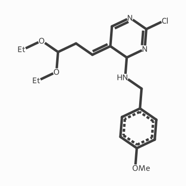 CCOC(CC=C1C=NC(Cl)=NC1NCc1ccc(OC)cc1)OCC